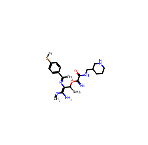 C=N/C(N)=C(\N=C(/C)c1ccc(SC(C)C)cc1)C(NC)OC(=N)C(=O)NCC1CCCNC1